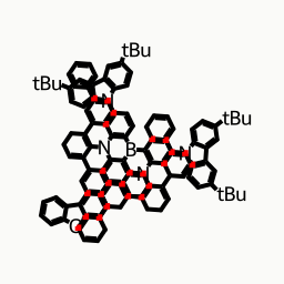 CC(C)(C)c1ccc2c(c1)c1cc(C(C)(C)C)ccc1n2-c1ccc2c(c1)N(C1=C(C3=CC=CC(C4C=CC=CC4)C3)CCC=C1C1C=CC=C(C3=CC=CCC3)C1)c1cc(-c3ccc4oc5ccccc5c4c3)cc3c1B2c1ccc(-n2c4ccc(C(C)(C)C)cc4c4cc(C(C)(C)C)ccc42)cc1N3C1=C(c2cccc(-c3ccccc3)c2)CCC=C1c1cccc(C2=CCCC=C2)c1